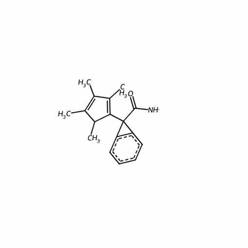 CC1=C(C)C(C)C(C2(C([NH])=O)c3ccccc32)=C1C